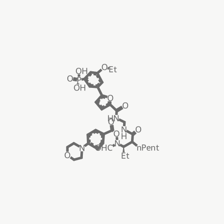 CCCCCC(C(=O)NCNC(=O)c1ccc(-c2cc(OCC)cc(P(=O)(O)O)c2)o1)[C@@H](CC)N(C=O)OC(=O)c1ccc(N2CCOCC2)cc1